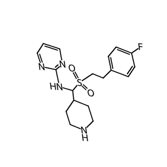 O=S(=O)(CCc1ccc(F)cc1)C(Nc1ncccn1)C1CCNCC1